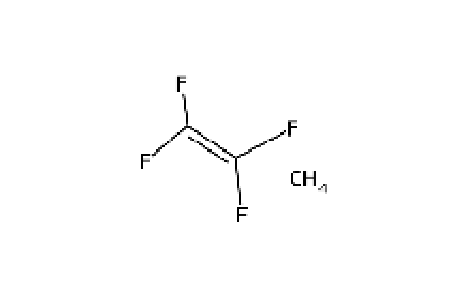 C.FC(F)=C(F)F